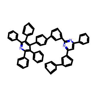 c1ccc(-c2cccc(-c3cc(-c4ccccc4)nc(-c4cccc(-c5ccc(-c6c(-c7ccccc7)c(-c7ccccc7)nc(-c7ccccc7)c6-c6ccccc6)cc5)c4)n3)c2)cc1